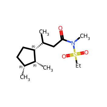 CCS(=O)(=O)N(C)C(=O)CC(C)[C@H]1CC[C@@H](C)[C@H]1C